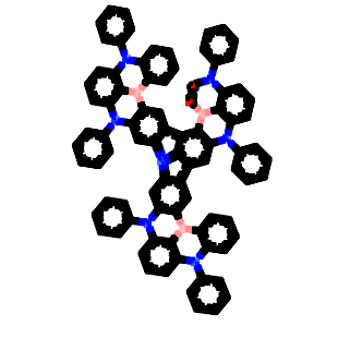 c1ccc(N2c3ccccc3B3c4cc5c6cc7c(c8c9cc%10c(cc9n(c5cc4N(c4ccccc4)c4cccc2c43)c68)N(c2ccccc2)c2cccc3c2B%10c2ccccc2N3c2ccccc2)B2c3ccccc3N(c3ccccc3)c3cccc(c32)N7c2ccccc2)cc1